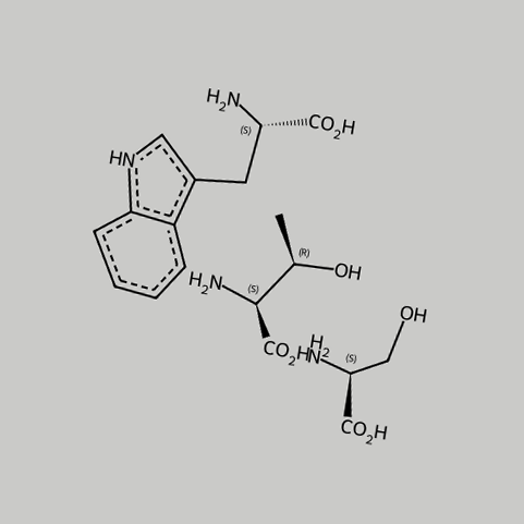 C[C@@H](O)[C@H](N)C(=O)O.N[C@@H](CO)C(=O)O.N[C@@H](Cc1c[nH]c2ccccc12)C(=O)O